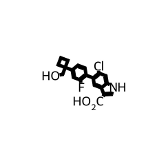 O=C(O)c1c[nH]c2cc(Cl)c(-c3ccc(C4(CO)CCC4)cc3F)cc12